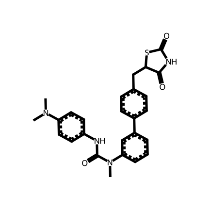 CN(C)c1ccc(NC(=O)N(C)c2cccc(-c3ccc(CC4SC(=O)NC4=O)cc3)c2)cc1